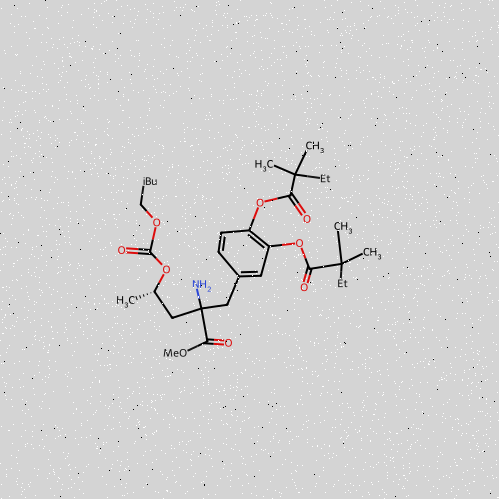 CCC(C)COC(=O)O[C@@H](C)CC(N)(Cc1ccc(OC(=O)C(C)(C)CC)c(OC(=O)C(C)(C)CC)c1)C(=O)OC